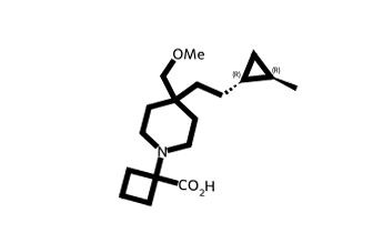 COCC1(CC[C@@H]2C[C@H]2C)CCN(C2(C(=O)O)CCC2)CC1